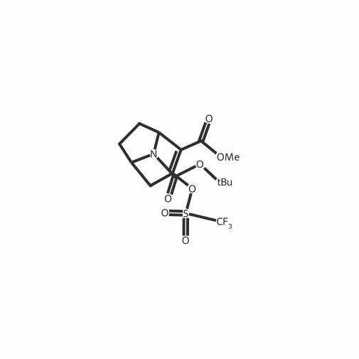 COC(=O)C1=C(OS(=O)(=O)C(F)(F)F)CC2CCC1N2C(=O)OC(C)(C)C